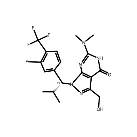 CC(C)[C@H](c1ccc(C(F)(F)F)c(F)c1)n1nc(CO)c2c(=O)[nH]c(N(C)C)nc21